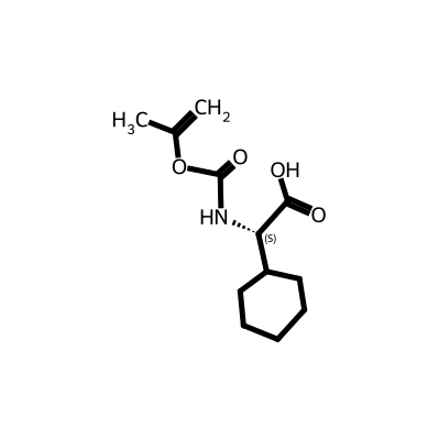 C=C(C)OC(=O)N[C@H](C(=O)O)C1CCCCC1